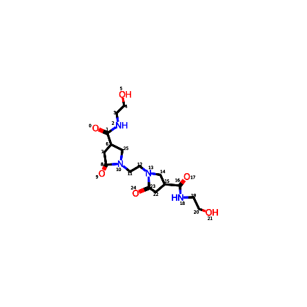 O=C(NCCO)C1CC(=O)N(CCN2CC(C(=O)NCCO)CC2=O)C1